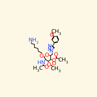 COc1cccc(-c2cn(CC3OC(OCCCCCCN)C(NC(C)=O)C(OC(C)=O)C3OC(C)=O)nn2)c1